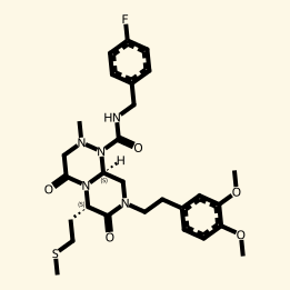 COc1ccc(CCN2C[C@H]3N(C(=O)CN(C)N3C(=O)NCc3ccc(F)cc3)[C@@H](CCSC)C2=O)cc1OC